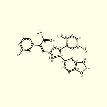 Cc1cccc(/C(=C/c2nc(-c3cc(Cl)ccc3Cl)c(-c3ccc4c(c3)OCO4)[nH]2)C(=O)O)c1